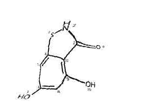 O=c1[nH]sc2cc(O)cc(O)c12